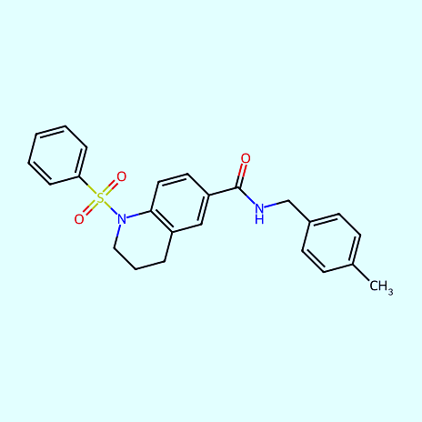 Cc1ccc(CNC(=O)c2ccc3c(c2)CCCN3S(=O)(=O)c2ccccc2)cc1